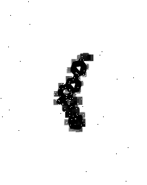 CC(C)(C)c1ccc(-c2ccc3c(c2)CCC2(CC2)C3NC(=O)O[C@@H]2CN3CCC2CC3)cc1